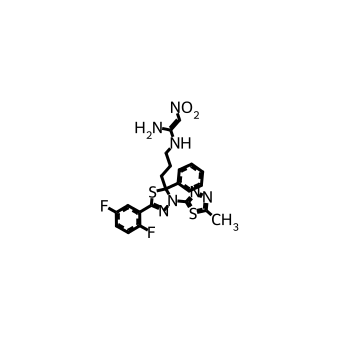 Cc1nnc(N2N=C(c3cc(F)ccc3F)SC2(CCCNC(N)=C[N+](=O)[O-])c2ccccc2)s1